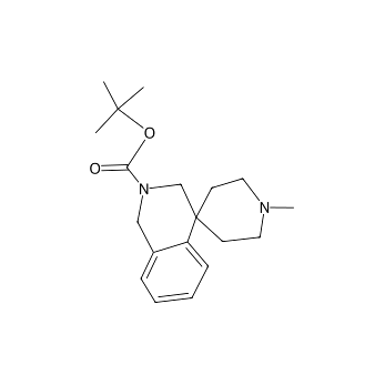 CN1CCC2(CC1)CN(C(=O)OC(C)(C)C)Cc1ccccc12